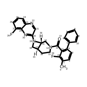 Cc1ccc(-c2ccccc2)c(C(=O)N2CC[C@H]3CN(c4cnc5cccc(F)c5n4)[C@@H]3C2)c1F